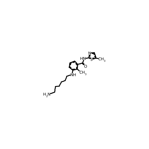 Cc1cnc(NC(=O)c2cccc(NCCCCCCN)c2C)s1